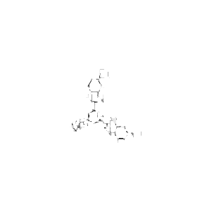 CCC1=CC2=NC(c3cccc(C4=NC5C=CC(CC)=CC5=N4)n3)=NC2C=C1.[Cl-].[Cl-].[V+2]